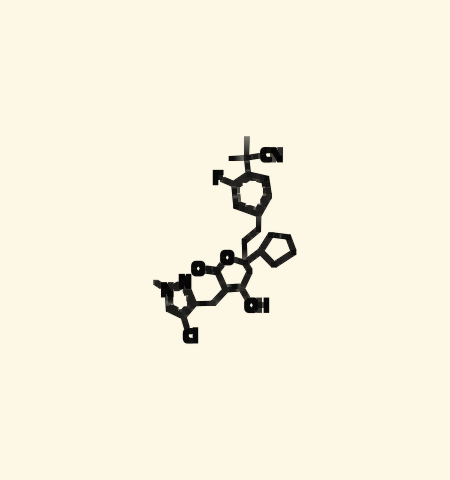 Cn1cc(Cl)c(CC2=C(O)CC(CCc3ccc(C(C)(C)C#N)c(F)c3)(C3CCCC3)OC2=O)n1